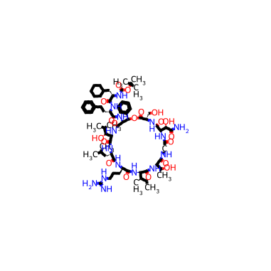 CC[C@H](C)[C@@H]1NC(=O)[C@@H](CCCNC(=N)N)NC(=O)[C@H](CC(C)C)NC(=O)[C@H]([C@H](O)C(C)C)NC(=O)[C@@H](NC(=O)[C@H](CCc2ccccc2)NC(=O)[C@H](CC2CCCCC2)NC(=O)OC(C)(C)C)[C@@H](c2ccccc2)OC(=O)[C@H](CO)NC(=O)[C@H]([C@H](O)C(N)=O)NC(=O)CNC(=O)[C@H]([C@H](C)O)NC1=O